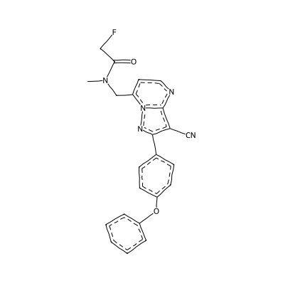 CN(Cc1ccnc2c(C#N)c(-c3ccc(Oc4ccccc4)cc3)nn12)C(=O)CF